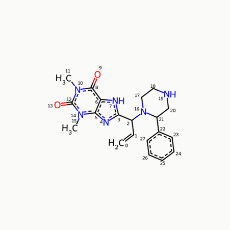 C=CC(c1nc2c([nH]1)c(=O)n(C)c(=O)n2C)N1CCNCC1c1ccccc1